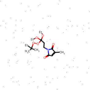 CCOC(CCN1C(=O)C=C(C)C1=O)(OCC)OOC(C)(C)CC